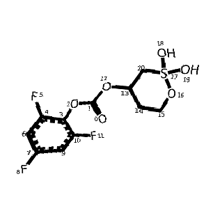 O=C(Oc1c(F)cc(F)cc1F)OC1CCOS(O)(O)C1